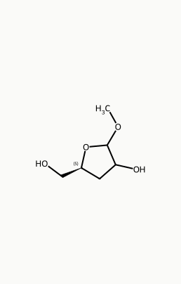 COC1O[C@H](CO)CC1O